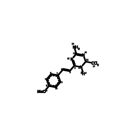 [2H]N1C(C=Cc2ccc(OC)cc2)=NC(N)=NC1C(Cl)(Cl)Cl